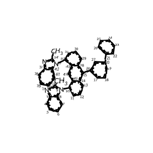 Cc1nc2ccccc2n1-c1cccc2c(-c3cccc(-c4ccccc4)c3)c3cccc(-n4c(C)nc5ccccc54)c3cc12